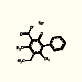 CCn1c(C)c(C(=O)[O-])c(=O)c(-c2ccccc2)c1C.[Na+]